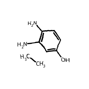 CC.Nc1ccc(O)cc1N